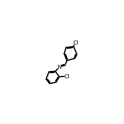 Clc1ccc(C=Nc2ccccc2Cl)cc1